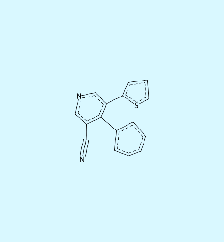 N#Cc1cncc(-c2cccs2)c1-c1ccccc1